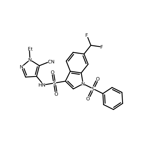 CCn1ncc(NS(=O)(=O)c2cn(S(=O)(=O)c3ccccc3)c3cc(C(F)F)ccc23)c1C#N